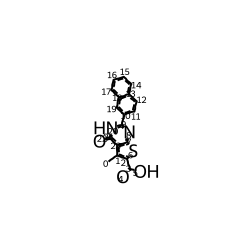 Cc1c(C(=O)O)sc2nc(-c3ccc4ccccc4c3)[nH]c(=O)c12